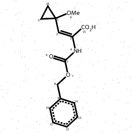 COC1(C=C(NC(=O)OCc2ccccc2)C(=O)O)CC1